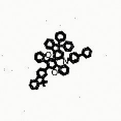 CC1(C)c2ccccc2-c2ccc(-c3c4oc5cccc(N(c6ccc(-c7ccccc7)cc6)c6ccc7c(c6)C(c6ccccc6)(c6ccccc6)c6ccccc6-7)c5c4cc4oc5ccccc5c34)cc21